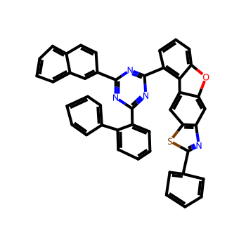 c1ccc(-c2nc3cc4oc5cccc(-c6nc(-c7ccc8ccccc8c7)nc(-c7ccccc7-c7ccccc7)n6)c5c4cc3s2)cc1